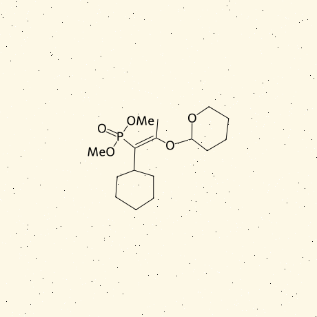 COP(=O)(OC)/C(=C(\C)OC1CCCCO1)C1CCCCC1